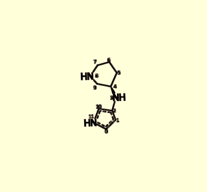 c1cc(N[C@@H]2CCCNC2)c[nH]1